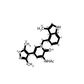 CC(=O)Nc1cc(-c2c(C)noc2C)cn(Cc2cccc3[nH]cc(C)c23)c1=O